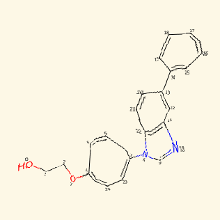 OCCOc1ccc(-n2cnc3cc(-c4ccccc4)ccc32)cc1